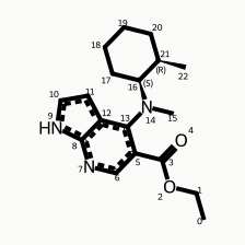 CCOC(=O)c1cnc2[nH]ccc2c1N(C)[C@H]1CCCC[C@H]1C